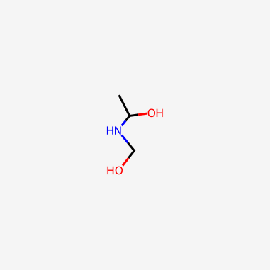 CC(O)NCO